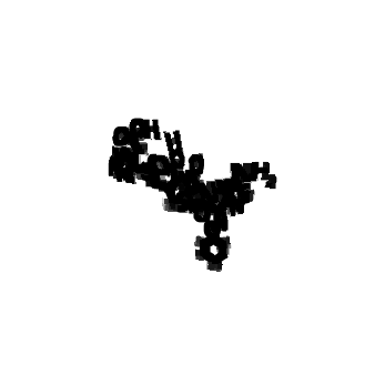 Nc1nc(/C(=N/OC2C=CCCC2)C(=O)NC2C(=O)N3C(C(=O)O)=C(CSc4nnnn4CC(=O)O)CS[C@H]23)ns1